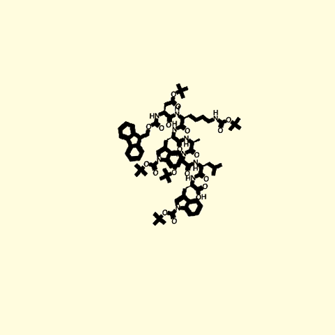 CC(C)C[C@H](NC(=O)[C@H](COC(C)(C)C)NC(=O)[C@H](C)NC(=O)[C@H](Cc1cn(C(=O)OC(C)(C)C)c2ccccc12)NC(=O)[C@H](CCCCNC(=O)OC(C)(C)C)NC(=O)[C@H](CC(=O)OC(C)(C)C)NC(=O)OCC1c2ccccc2-c2ccccc21)C(=O)N[C@@H](Cc1cn(C(=O)OC(C)(C)C)c2ccccc12)C(=O)O